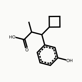 CC(C(=O)O)C(c1cccc(O)c1)C1CCC1